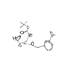 COc1cccc(COC[C@@H](NC(=O)OC(C)(C)C)C(=O)O)c1